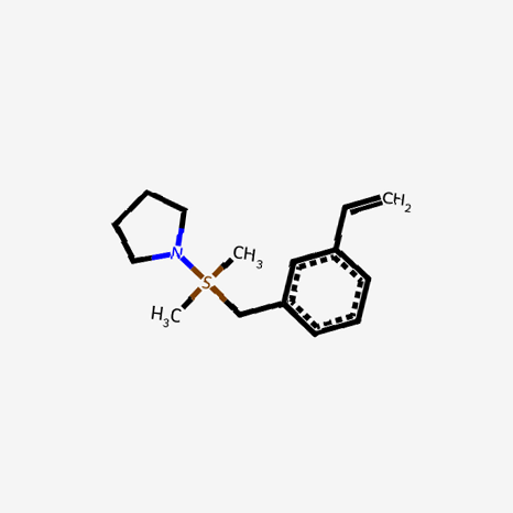 C=Cc1cccc(CS(C)(C)N2CCCC2)c1